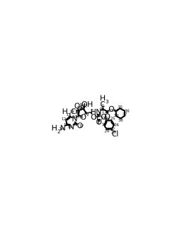 C[C@H](NP(=O)(OC[C@H]1O[C@@H](n2ccc(N)nc2=O)[C@](C)(O)[C@@H]1O)Oc1ccc(Cl)cc1)C(=O)OC1CCCCC1